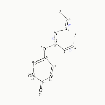 C\C=C/C=C(\C=C/C)Oc1cnc(=O)[nH]c1